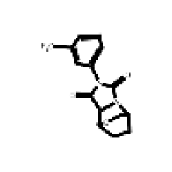 O=C1C2C3CCC(CC3)N2C(=O)N1c1cccc(C(F)(F)F)c1